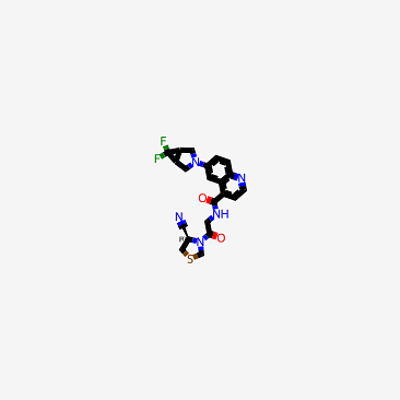 N#C[C@@H]1CSCN1C(=O)CNC(=O)c1ccnc2ccc(N3CC4C(C3)C4(F)F)cc12